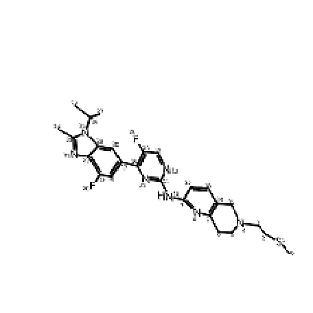 CSCCN1CCc2nc(Nc3ncc(F)c(-c4cc(F)c5nc(C)n(C(C)C)c5c4)n3)ccc2C1